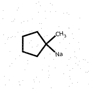 C[C]1([Na])CCCC1